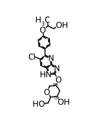 CC(CO)Oc1ccc(-c2nc3nc(O[C@H]4COC(CO)[C@@H](O)C4)[nH]c3cc2Cl)cc1